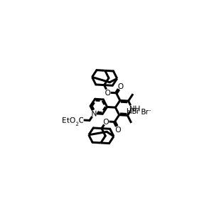 Br.CCOC(=O)C[n+]1cccc(C2C(C(=O)OC34CC5CC(CC(C5)C3)C4)=C(C)NC(C)=C2C(=O)OC23CC4CC(CC(C4)C2)C3)c1.[Br-]